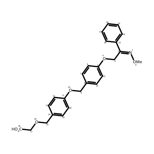 CO/N=C(\COc1ccc(COc2ccc(COCC(=O)O)cc2)cc1)c1ccccc1